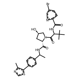 Cc1ncsc1-c1ccc(C(C)NC(=O)[C@@H]2C[C@@H](O)CN2C(=O)C(NC(=O)c2ccc(Br)cn2)C(C)(C)C)cc1